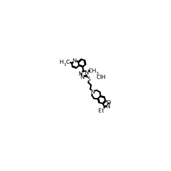 CCc1noc2cc3c(cc12)CCN(CCCSc1nnc(-c2cccc4nc(C)ccc24)n1C)CC3.Cl